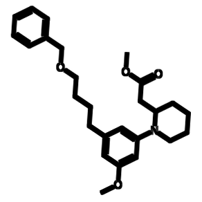 COC(=O)CC1CCCCN1c1cc(CCCCOCc2ccccc2)cc(OC)c1